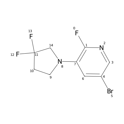 Fc1ncc(Br)cc1N1CCC(F)(F)C1